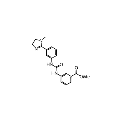 COC(=O)c1cccc(NC(=O)Nc2cccc(C3=NCCN3C)c2)c1